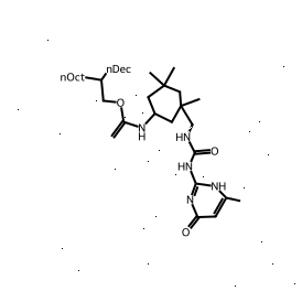 C=C(NC1CC(C)(C)CC(C)(CNC(=O)Nc2nc(=O)cc(C)[nH]2)C1)OCC(CCCCCCCC)CCCCCCCCCC